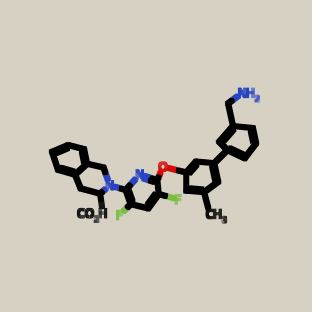 Cc1cc(Oc2nc(N3Cc4ccccc4CC3C(=O)O)c(F)cc2F)cc(-c2cccc(CN)c2)c1